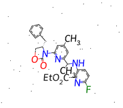 CCOC(=O)c1nc(F)ccc1NC(C)c1cc(C)cc(N2C(=O)OC[C@@H]2Cc2ccccc2)n1